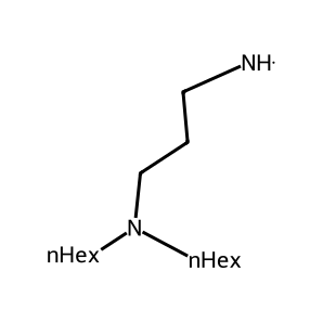 CCCCCCN(CCC[NH])CCCCCC